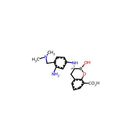 CN(C)Cc1ccc(N[C@H]2Cc3cccc(C(=O)O)c3OB2O)cc1N